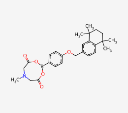 CN1CC(=O)OB(c2ccc(OCc3ccc4c(c3)C(C)(C)CCC4(C)C)cc2)OC(=O)C1